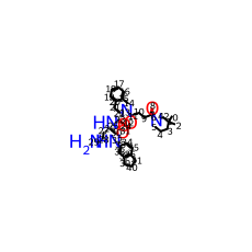 CC1(C)CCCN(C(=O)CCC(=O)N2Cc3ccccc3C[C@H]2C(=O)N[C@@H](CCN)C(=O)Nc2ccc3c(c2)CCC3)C1